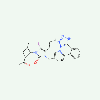 CCCCc1c(I)n(C2C(C)CC2C(C)=O)c(=O)n1Cc1ccc(-c2ccccc2-c2nnn[nH]2)nc1